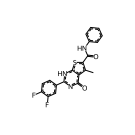 Cc1c(C(=O)Nc2ccccc2)sc2[nH]c(-c3ccc(F)c(F)c3)nc(=O)c12